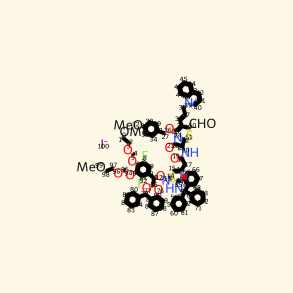 COCCOCOc1c(F)cc(C(ON=S2C=C(CC(=O)N[C@H]3C(=O)N4C(OCc5ccc(OC)cc5)=C(C=CC[n+]5cccc6ccccc65)C(C=O)SC34)N=C2NC(c2ccccc2)(c2ccccc2)c2ccccc2)C(=O)OC(c2ccccc2)c2ccccc2)c(F)c1OCOCCOC.[I-]